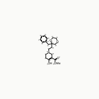 COC(=O)C1=C(O)CCN(CCC2(Cc3ccccc3)COCCO2)C1